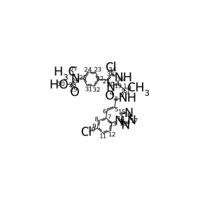 C[C@H](NC(=O)C=Cc1cc(Cl)ccc1-n1cnnn1)c1nc(-c2ccc(N(C)C(=O)O)cc2)c(Cl)[nH]1